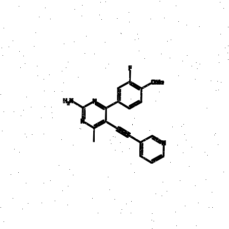 COc1ccc(-c2nc(N)nc(C)c2C#Cc2cccnc2)cc1F